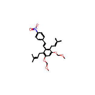 COCOc1cc(OCOC)c(CC=C(C)C)c(C=Cc2ccc([N+](=O)[O-])cc2)c1CC=C(C)C